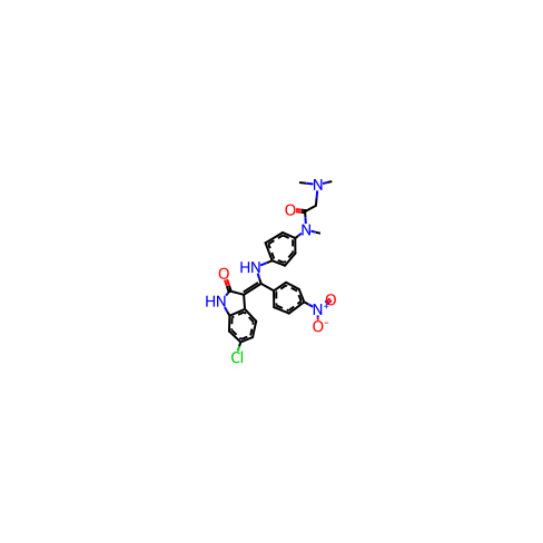 CN(C)CC(=O)N(C)c1ccc(N/C(=C2\C(=O)Nc3cc(Cl)ccc32)c2ccc([N+](=O)[O-])cc2)cc1